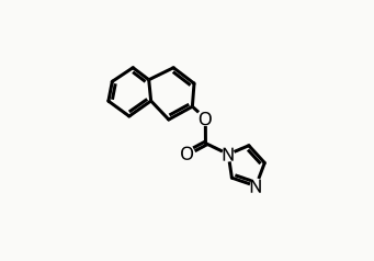 O=C(Oc1ccc2ccccc2c1)n1ccnc1